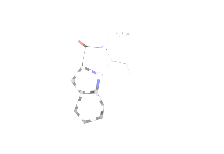 CON1C(=O)c2cc3ccccc3n2C1CC(=O)O